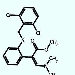 COC(=O)C(=CN(C)C)c1ccccc1SCc1c(Cl)cccc1Cl